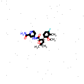 COc1c([C@@H]2CC(C)(C)O[C@H]2C(=O)Nc2ccnc(C(N)=O)c2)ccc(F)c1C